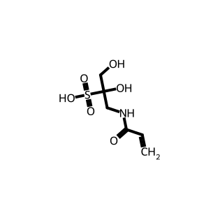 C=CC(=O)NCC(O)(CO)S(=O)(=O)O